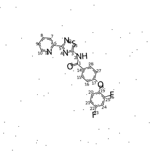 O=C(Nc1nc(-c2ccccn2)ns1)c1ccc(Oc2ccc(F)cc2F)cc1